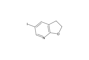 Ic1cnc2c(c1)CCO2